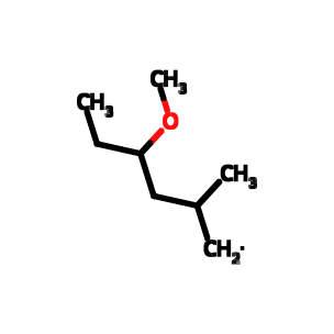 [CH2]C(C)CC(CC)OC